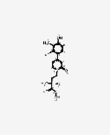 CC(=O)[C@](C)(CCn1ccc(-c2ccc(O)c(C)c2F)cc1=O)C(=O)NO